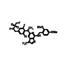 CCc1cc(CN(F)S(=O)(=O)CF)cc(F)c1N(C)c1cc2c(ncn2C)c(NCc2ccc(OC)cc2OC)n1